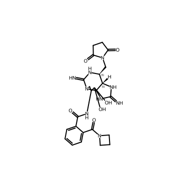 N=C1N[C@H]2[C@H](CN3C(=O)CCC3=O)NC(=N)N3CC(NC(=O)c4ccccc4C(=O)N4CCC4)C(O)(O)C23N1